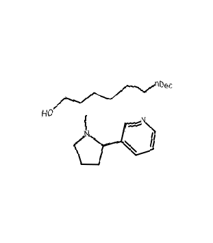 CCCCCCCCCCCCCCCCO.CN1CCCC1c1cccnc1